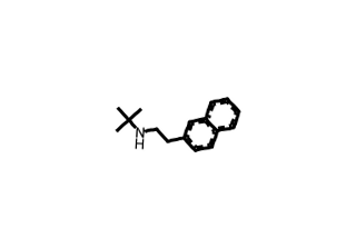 CC(C)(C)NCCc1ccc2ccccc2c1